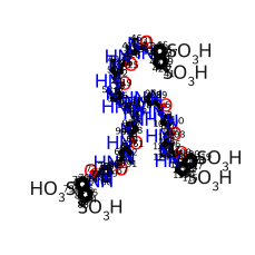 Cn1cc(NC(=O)c2cc(Nc3nc(Nc4cc(C(=O)Nc5cc(C(=O)Nc6cc(C(=O)Nc7ccc(S(=O)(=O)O)c8cc(S(=O)(=O)O)ccc78)n(C)c6)n(C)c5)n(C)c4)nc(Nc4cc(C(=O)Nc5cc(C(=O)Nc6cc(C(=O)Nc7ccc(S(=O)(=O)O)c8cc(S(=O)(=O)O)ccc78)n(C)c6)n(C)c5)n(C)c4)n3)cn2C)cc1C(=O)Nc1cc(C(=O)Nc2ccc(S(=O)(=O)O)c3cc(S(=O)(=O)O)ccc23)n(C)c1